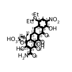 CCN(CC)c1cc([N+](=O)[O-])c(O)c2c1CC1CC3[C@@](O)(C(=O)C(C(N)=O)=C(O)[C@@]3(OS(=O)(=O)O)N(C)C)C(O)=C1C2=O